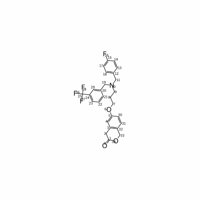 O=C1Cc2cc(OCCCN(Cc3ccc(F)cc3)Cc3cccc(C(F)(F)F)c3)ccc2CO1